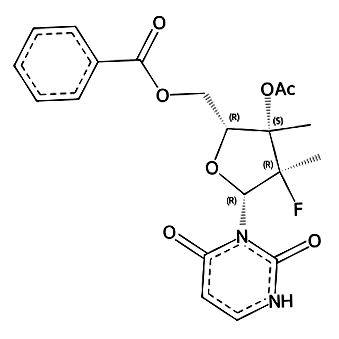 CC(=O)O[C@@]1(C)[C@@H](COC(=O)c2ccccc2)O[C@@H](n2c(=O)cc[nH]c2=O)[C@]1(C)F